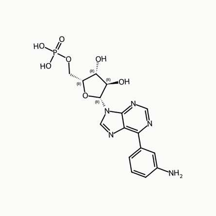 Nc1cccc(-c2ncnc3c2ncn3[C@@H]2O[C@H](COP(=O)(O)O)[C@H](O)[C@H]2O)c1